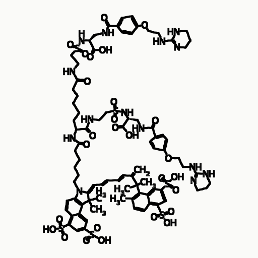 C=C(/C=C/C=C/C=C1/N(CCCCCC(=O)NC(CCCCCC(=O)NCCS(=O)(=O)N[C@@H](CNC(=O)c2ccc(OCCNC3=NCCCN3)cc2)C(=O)O)C(=O)NCCS(=O)(=O)N[C@@H](CNC(=O)c2ccc(OCCNC3=NCCCN3)cc2)C(=O)O)c2ccc3c(S(=O)(=O)O)cc(S(=O)(=O)O)cc3c2C1(C)C)C(C)(C)c1c(C)ccc2c(S(=O)(=O)O)cc(S(=O)(=O)O)cc12